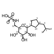 CC(C)CC1CCC(C2O[C@H](CNS(=O)(=O)O)[C@@H](O)[C@H](O)[C@@H]2O)C1